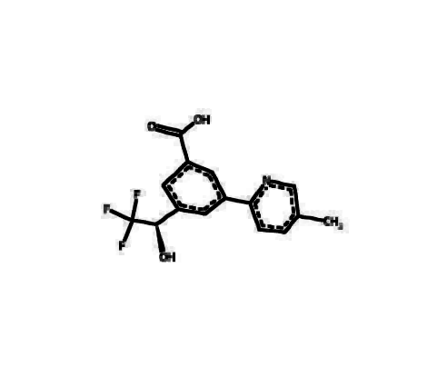 Cc1ccc(-c2cc(C(=O)O)cc([C@@H](O)C(F)(F)F)c2)nc1